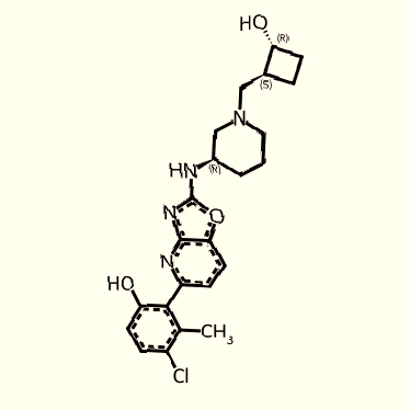 Cc1c(Cl)ccc(O)c1-c1ccc2oc(N[C@@H]3CCCN(C[C@@H]4CC[C@H]4O)C3)nc2n1